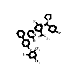 Brc1ccc(-c2ccccc2)cc1.Brc1ccccn1.CC(C)(C)OC(=O)c1ccc(Br)cc1.FC(F)(F)c1cc(Br)cc(C(F)(F)F)c1.O=C(c1ccc(Br)cc1)N1CCCC1